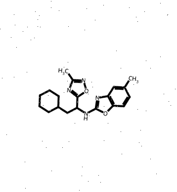 Cc1ccc2oc(NC(CC3CCCCC3)c3nc(C)no3)nc2c1